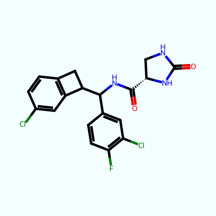 O=C1NC[C@@H](C(=O)NC(c2ccc(F)c(Cl)c2)C2Cc3ccc(Cl)cc32)N1